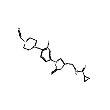 O=CN1CCN(c2ccc(N3CC(CNC(=S)C4CC4)OC3=O)cc2F)CC1